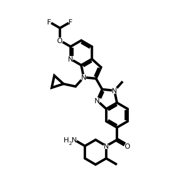 CC1CCC(N)CN1C(=O)c1ccc2c(c1)nc(-c1cc3ccc(OC(F)F)nc3n1CC1CC1)n2C